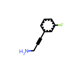 NCC#Cc1cccc(F)c1